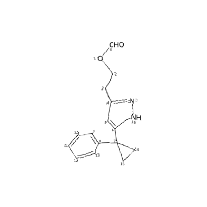 O=COCCc1cc(C2(c3ccccc3)CC2)[nH]n1